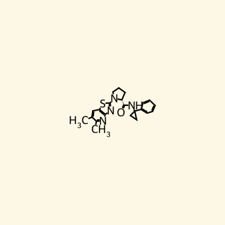 Cc1cc2sc(N3CCC[C@@H]3C(=O)NC3(c4ccccc4)CC3)nc2nc1C